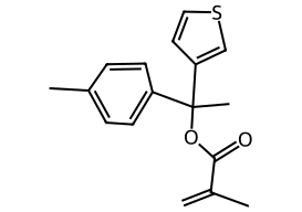 C=C(C)C(=O)OC(C)(c1ccc(C)cc1)c1ccsc1